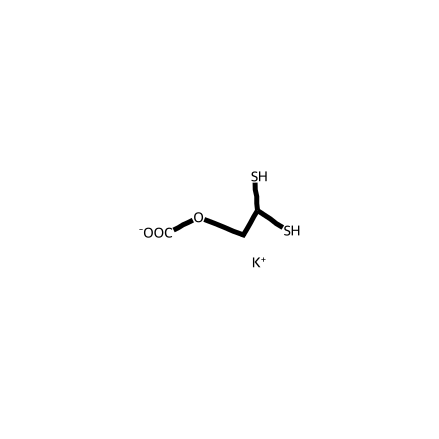 O=C([O-])OCC(S)S.[K+]